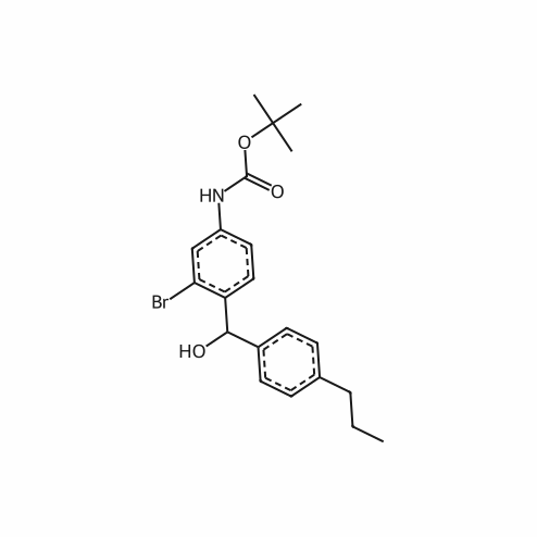 CCCc1ccc(C(O)c2ccc(NC(=O)OC(C)(C)C)cc2Br)cc1